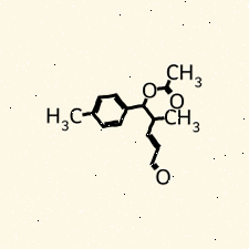 CC(=O)OC(c1ccc(C)cc1)C(C)/C=C/C=O